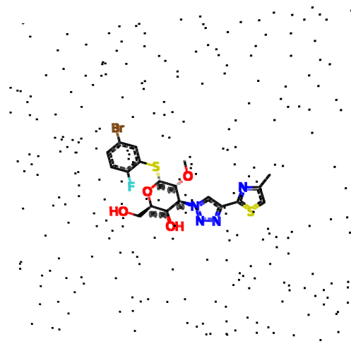 CO[C@@H]1[C@@H](n2cc(-c3nc(C)cs3)nn2)[C@@H](O)[C@@H](CO)O[C@@H]1Sc1cc(Br)ccc1F